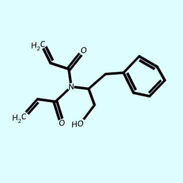 C=CC(=O)N(C(=O)C=C)C(CO)Cc1ccccc1